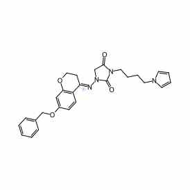 O=C1CN(/N=C2\CCOc3cc(OCc4ccccc4)ccc32)C(=O)N1CCCCn1cccc1